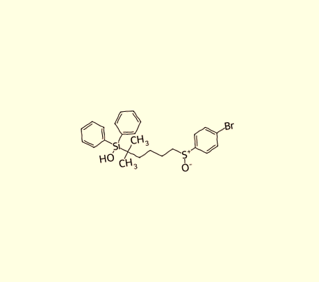 CC(C)(CCCC[S+]([O-])c1ccc(Br)cc1)[Si](O)(c1ccccc1)c1ccccc1